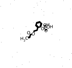 C=CC(=O)OCCc1ccccc1OP(=O)(O)O